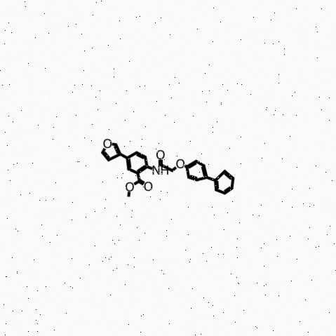 COC(=O)c1cc(-c2ccoc2)ccc1NC(=O)COc1ccc(-c2ccccc2)cc1